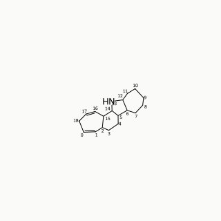 C1=CC2CCC3C4CCCCCC4NC3C2C=CC1